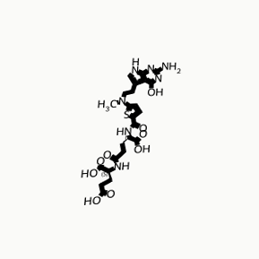 CN(CCc1c[nH]c2nc(N)nc(O)c12)c1ccc(C(=O)N[C@@H](CCC(=O)N[C@@H](CCC(=O)O)C(=O)O)C(=O)O)s1